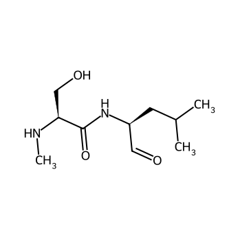 CN[C@@H](CO)C(=O)N[C@H](C=O)CC(C)C